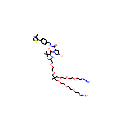 Cc1ncsc1-c1ccc(CNC(=O)[C@@H]2C[C@@H](O)CN2C(=O)[C@@H](NC(=O)COCCOCC(C)(COCCOCCOCCN=[N+]=[N-])COCCOCCOCCN=[N+]=[N-])C(C)(C)C)cc1